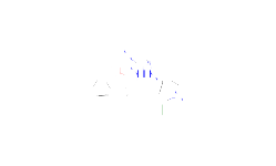 Cc1c(N/C=C\C(=N)NC(=O)C2(c3ccccc3F)CC2)ccnc1F